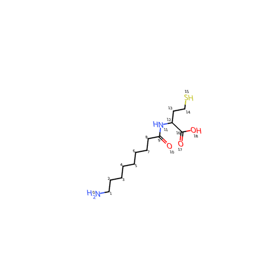 NCCCCCCCCC(=O)NC(CCS)C(=O)O